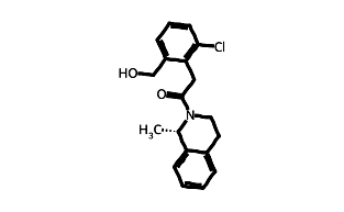 C[C@H]1c2ccccc2CCN1C(=O)Cc1c(Cl)cccc1CO